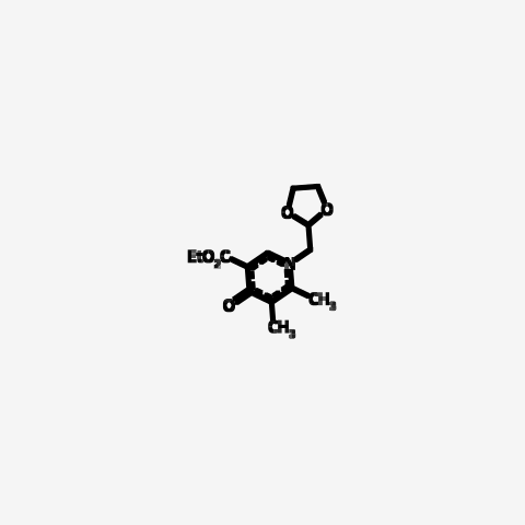 CCOC(=O)c1cn(CC2OCCO2)c(C)c(C)c1=O